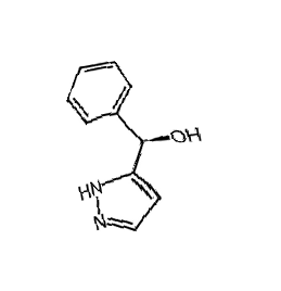 O[C@H](c1ccccc1)c1ccn[nH]1